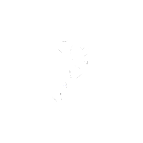 CC/C(=C\c1ccc2c(c1O)C(O)(c1ccccc1)C(OC)C(=O)N2)c1ccco1